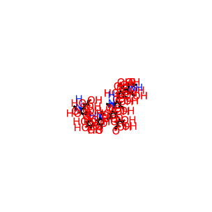 CC(=O)NC1C(OCC2OC(OC(C(O)CO)C(O)C(O)C=O)C(O)C(OC3OC(CO)C(O)C(OC4OC(CO)C(O)C(OC5(C(=O)O)CC(C(O)C(O)CO)C(NC(C)=O)C(O)O5)C4O)C3NC(C)=O)C2O)OC(CO)C(OC2OC(COC3(C(=O)O)CC(O)C(NC(C)=O)C(C(O)C(O)CO)O3)C(O)C(O)C2O)C1O